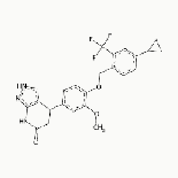 COc1cc(C2CC(=O)Nc3n[nH]cc32)ccc1OCc1ccc(C2CC2)cc1C(F)(F)F